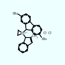 CC1=Cc2ccccc2[CH]1[Zr+2]1([CH]2c3cc(C(C)(C)C)ccc3-c3ccc(C(C)(C)C)cc32)[CH2][CH2]1.[Cl-].[Cl-]